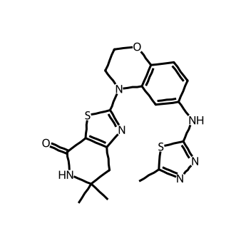 Cc1nnc(Nc2ccc3c(c2)N(c2nc4c(s2)C(=O)NC(C)(C)C4)CCO3)s1